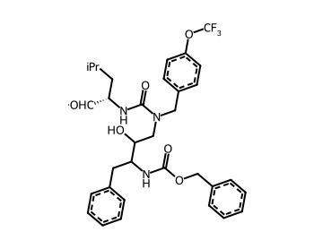 CC(C)C[C@@H]([C]=O)NC(=O)N(Cc1ccc(OC(F)(F)F)cc1)CC(O)C(Cc1ccccc1)NC(=O)OCc1ccccc1